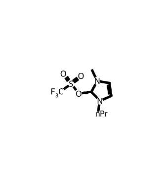 CCCN1C=CN(C)C1OS(=O)(=O)C(F)(F)F